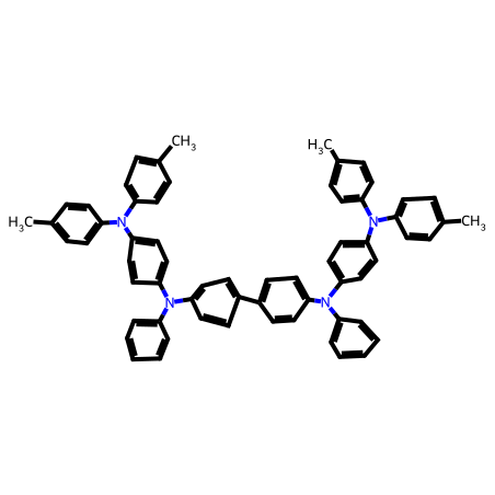 Cc1ccc(N(c2ccc(C)cc2)c2ccc(N(c3ccccc3)c3ccc(-c4ccc(N(c5ccccc5)c5ccc(N(c6ccc(C)cc6)c6ccc(C)cc6)cc5)cc4)cc3)cc2)cc1